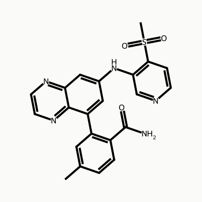 Cc1ccc(C(N)=O)c(-c2cc(Nc3cnccc3S(C)(=O)=O)cc3nccnc23)c1